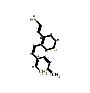 C=C\C=C/C(/C=C\C1=C(/C=C/S)CCCC1)=C\C